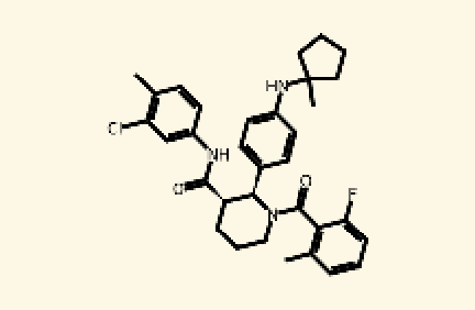 Cc1ccc(NC(=O)[C@@H]2CCCN(C(=O)c3c(C)cccc3F)[C@@H]2c2ccc(NC3(C)CCCC3)cc2)cc1Cl